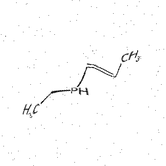 CC=CPCC